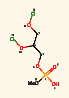 COP(=O)(O)OCC(COCl)OCl